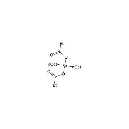 CCCCCCC[CH2][Sn]([CH2]CCCCCCC)([O]C(=O)CC)[O]C(=O)CC